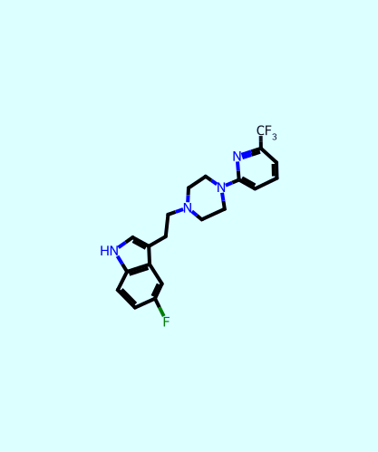 Fc1ccc2[nH]cc(CCN3CCN(c4cccc(C(F)(F)F)n4)CC3)c2c1